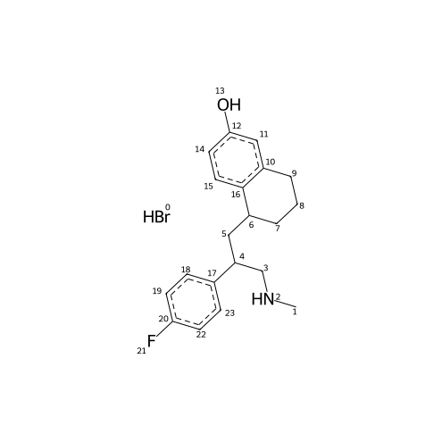 Br.CNCC(CC1CCCc2cc(O)ccc21)c1ccc(F)cc1